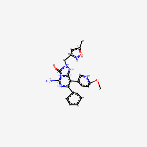 COc1ccc(-c2c(-c3ccccc3)nc(N)n3c(=O)n(Cc4cc(C)on4)nc23)cn1